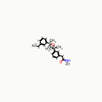 CCNC(=O)Cc1cccc([Si](C)(C)O[Si](C)(C)c2cccc(CC(C)=O)c2)c1